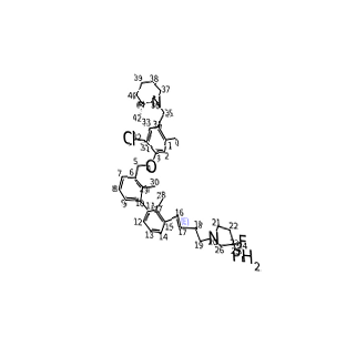 Cc1cc(OCc2cccc(-c3cccc(/C=C/CCN4CCC(F)(P)C4)c3C)c2C)c(Cl)cc1CN1CCCC[C@H]1C